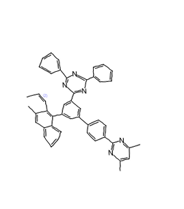 C/C=C\c1c(C)cc2ccccc2c1-c1cc(-c2ccc(-c3nc(C)cc(C)n3)cc2)cc(-c2nc(-c3ccccc3)nc(-c3ccccc3)n2)c1